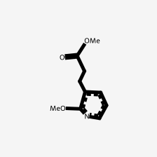 COC(=O)CCc1cccnc1OC